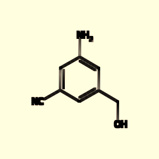 N#Cc1cc(N)cc(CO)c1